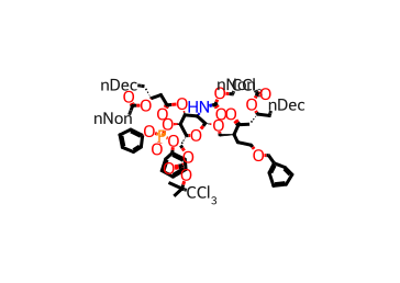 CCCCCCCCCCC[C@H](CC(=O)O[C@@H]1[C@@H](NC(=O)OCC(Cl)(Cl)Cl)[C@H](OC[C@H](CCOCc2ccccc2)C(=O)C[C@@H](CCCCCCCCCCC)OC(=O)CCCCCCCCC)O[C@H](COC(=O)OC(C)(C)C(Cl)(Cl)Cl)[C@H]1OP(=O)(Oc1ccccc1)Oc1ccccc1)OC(=O)CCCCCCCCC